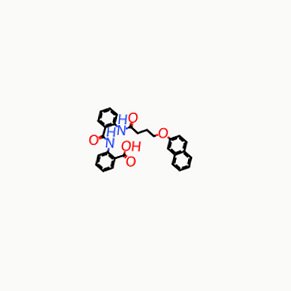 O=C(CCCOc1ccc2ccccc2c1)Nc1ccccc1C(=O)Nc1ccccc1C(=O)O